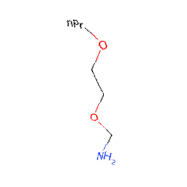 CCCOCCOCN